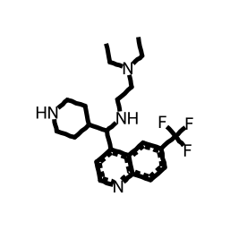 CCN(CC)CCNC(c1ccnc2ccc(C(F)(F)F)cc12)C1CCNCC1